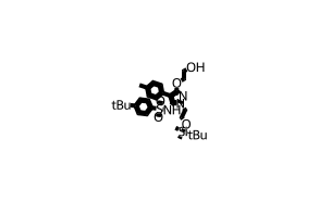 Cc1ccc(-c2c(OCCO)nn(CCO[Si](C)(C)C(C)(C)C)c2NS(=O)(=O)c2ccc(C(C)(C)C)cc2)cc1